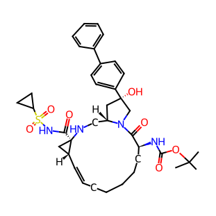 CC(C)(C)OC(=O)N[C@H]1CCCCC/C=C\[C@@H]2C[C@@]2(C(=O)NS(=O)(=O)C2CC2)NC[C@@H]2C[C@@](O)(c3ccc(-c4ccccc4)cc3)CN2C1=O